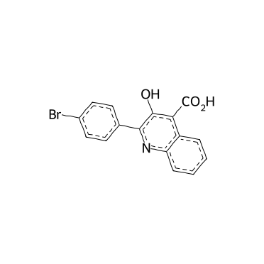 O=C(O)c1c(O)c(-c2ccc(Br)cc2)nc2ccccc12